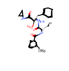 COc1cccc(C(=O)N[C@@H](CC(C)C)C(=O)N[C@@H](CC2=CCCCC2)C(O)C(=O)NC2CC2)c1